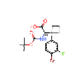 CC(C)(C)OC(=O)N[C@@H](C(=O)O)C1(c2ccc(Br)c(F)c2)CCC1